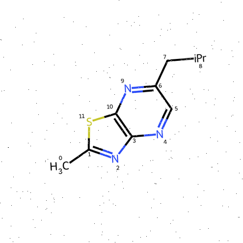 Cc1nc2ncc(CC(C)C)nc2s1